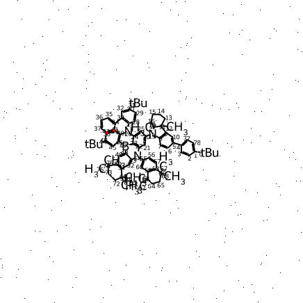 CC(C)(C)c1ccc(-c2ccc3c(c2)C2(C)CCCCC2(C)N3c2cc3c4c(c2)N(c2ccc(C(C)(C)C)cc2-c2ccccc2)c2ccc(C(C)(C)C)cc2B4c2cc4c(cc2N3c2ccc3c(c2)C(C)(C)CCC3(C)C)C(C)(C)CCC4(C)C)cc1